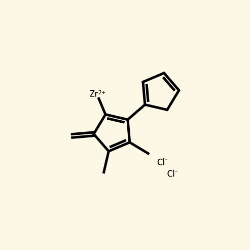 C=C1C(C)=C(C)C(C2=CC=CC2)=[C]1[Zr+2].[Cl-].[Cl-]